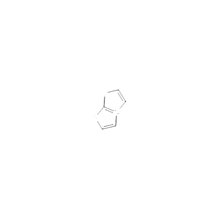 c1c[n+]2ccsc2s1